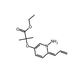 C=C/C=C1/C=CC(OC(C)(C)C(=O)OCC)=CN1N